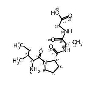 CC[C@H](C)[C@H](N)C(=O)N1CCC[C@H]1C(=O)N[C@@H](C)C(=O)NCC(=O)O